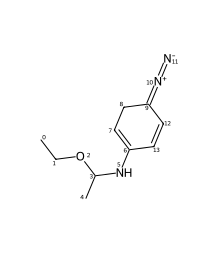 CCOC(C)NC1=CCC(=[N+]=[N-])C=C1